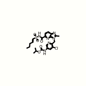 CCCC=CS(=O)(=O)NC(=O)c1ccc2nc(C)n(Cc3ncc(NC(=O)OC(C)C)cc3Cl)c2n1